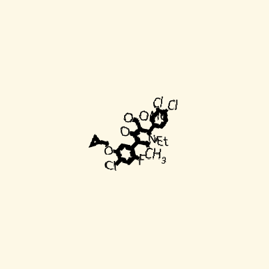 CCn1c(C)c(-c2cc(OCC3CC3)c(Cl)cc2F)c(=O)c(C(=O)OC)c1-c1ccc(Cl)c(Cl)c1